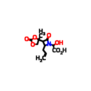 C=CCC1C(C2(C)COC(=O)O2)C(=O)N1C(O)C(=O)O